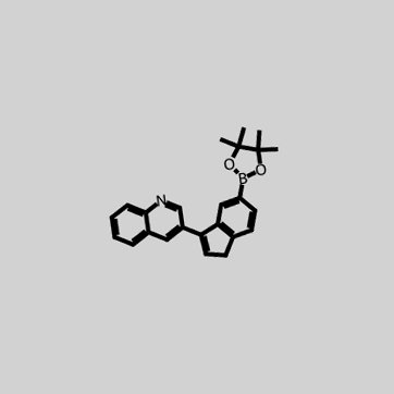 CC1(C)OB(c2ccc3c(c2)C(c2cnc4ccccc4c2)=CC3)OC1(C)C